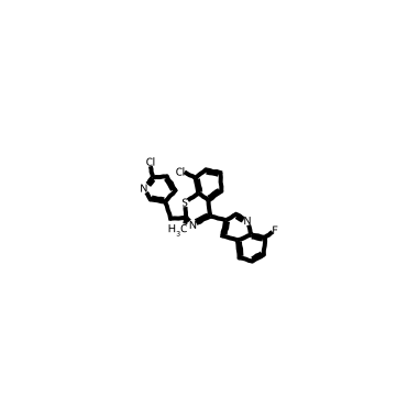 CC1(Cc2ccc(Cl)nc2)N=C(c2cnc3c(F)cccc3c2)c2cccc(Cl)c2S1